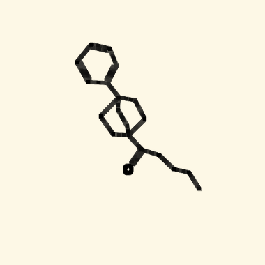 CCCCC(=O)C12CCC(c3ccccc3)(CC1)CC2